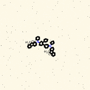 CC1(C)c2ccccc2-c2ccc(N(C3=CC=C=C(C4=C(c5ccccc5)CC(N(c5ccccc5)c5ccc6c(c5)C(C)(C)c5ccccc5-6)C=C4)C=C3)c3ccccc3)cc21